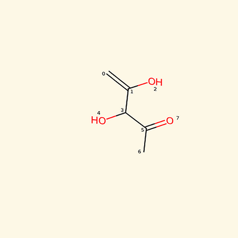 C=C(O)C(O)C(C)=O